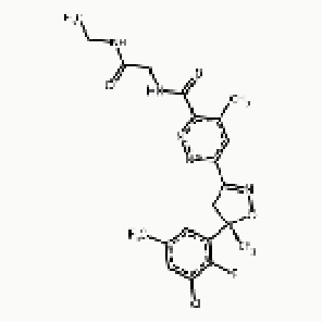 Cc1cc(C2=NO[C@@](c3cc(C(F)(F)F)cc(Cl)c3F)(C(F)(F)F)C2)nnc1C(=O)NCC(=O)NCC(F)(F)F